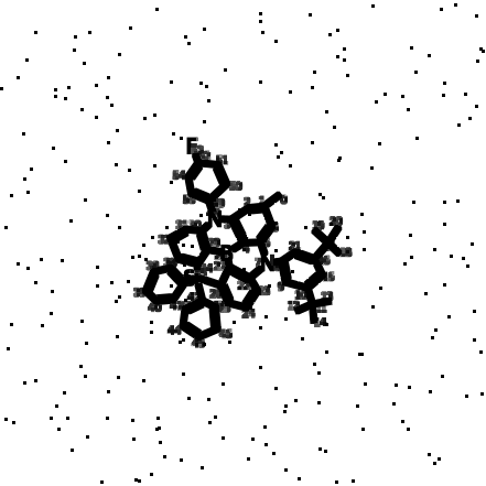 Cc1cc2c3c(c1)N(c1cc(C(C)(C)C)cc(C(C)(C)C)c1)c1cccc4c1B3c1c(cccc1[Si]4(c1ccccc1)c1ccccc1)N2c1ccc(F)cc1